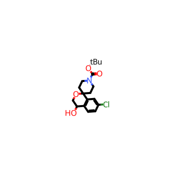 CC(C)(C)OC(=O)N1CCC2(CC1)OCC(O)c1ccc(Cl)cc12